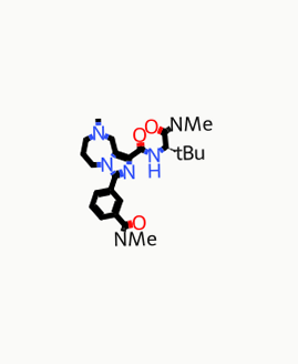 CNC(=O)c1cccc(-c2nc(C(=O)N[C@H](C(=O)NC)C(C)(C)C)c3n2CCCN(C)C3)c1